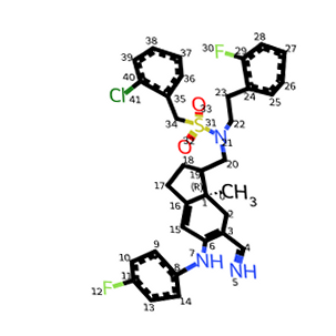 C[C@]12CC(C=N)=C(Nc3ccc(F)cc3)C=C1CCC2CN(CCc1ccccc1F)S(=O)(=O)Cc1ccccc1Cl